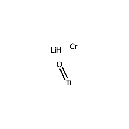 [Cr].[LiH].[O]=[Ti]